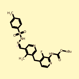 CCCCOC(=O)Nc1nccc(Cc2cncc(/C=N\NS(=O)(=O)c3ccc(C)cc3)c2C)c1F